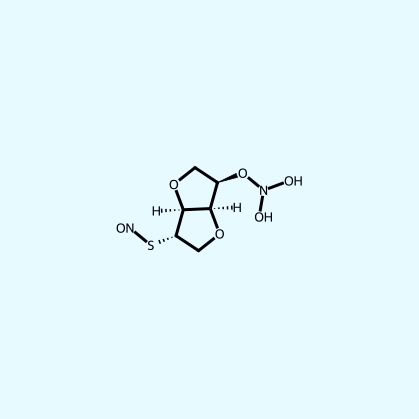 O=NS[C@H]1CO[C@H]2[C@@H]1OC[C@H]2ON(O)O